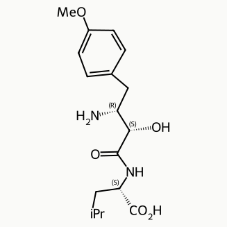 COc1ccc(C[C@@H](N)[C@H](O)C(=O)N[C@@H](CC(C)C)C(=O)O)cc1